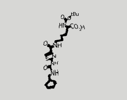 CC(C)(C)OC(=O)NC(CCCCNC(=O)c1csc(NC(=O)NCc2ccccc2)n1)C(=O)O